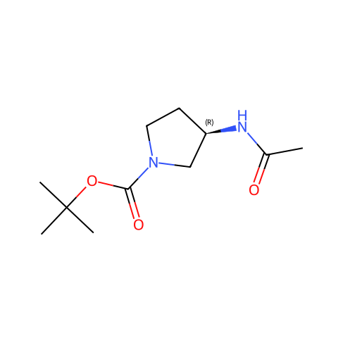 CC(=O)N[C@@H]1CCN(C(=O)OC(C)(C)C)C1